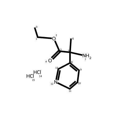 CCOC(=O)C(C)(N)c1cccnc1.Cl.Cl